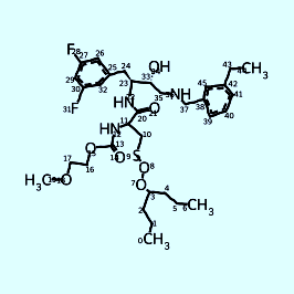 CCCC(CCC)OOSCC(NC(=O)OCCOC)C(=O)N[C@@H](Cc1cc(F)cc(F)c1)[C@H](O)CNCc1cccc(CC)c1